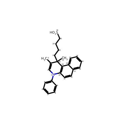 CC1=CN(c2ccccc2)c2ccc3ccccc3c2C1(C)CCCCS(=O)(=O)O